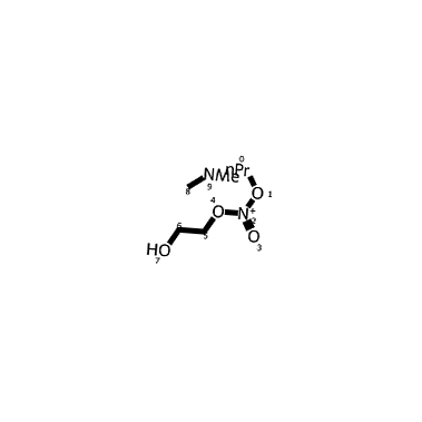 CCCO[N+](=O)OCCO.CNC